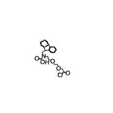 O=C(Cl)COCCOCCN(CC1c2ccccc2-c2ccccc21)C(=O)O